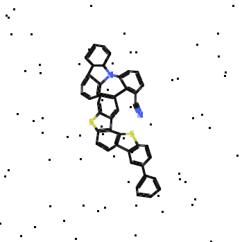 N#Cc1cccc(N2c3ccccc3C3C=CC=CC32)c1-c1ccc2sc3ccc4c5cc(-c6ccccc6)ccc5sc4c3c2c1